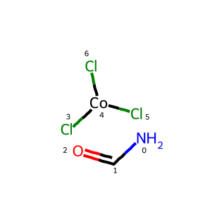 NC=O.[Cl][Co]([Cl])[Cl]